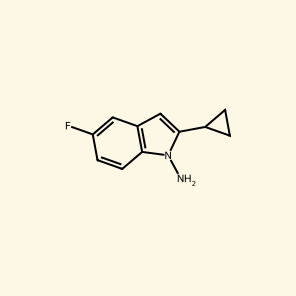 Nn1c(C2CC2)cc2cc(F)ccc21